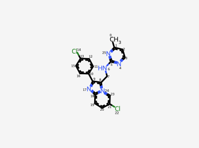 Cc1ccnc(NCc2c(-c3ccc(Cl)cc3)nc3ccc(Cl)cn23)n1